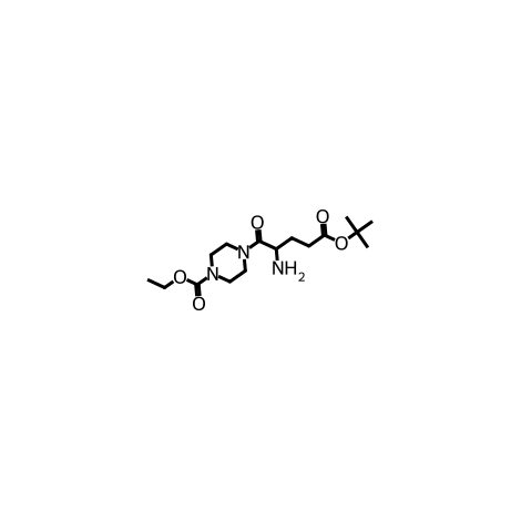 CCOC(=O)N1CCN(C(=O)C(N)CCC(=O)OC(C)(C)C)CC1